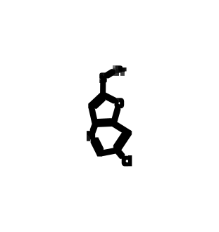 CC(C)Sc1cc2ncc(Cl)cc2o1